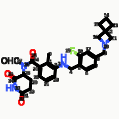 Cc1c(NCc2ccc(CN3CC4(CCC4)C3)cc2F)cccc1C(=O)N(C=O)C1CCC(=O)NC1=O